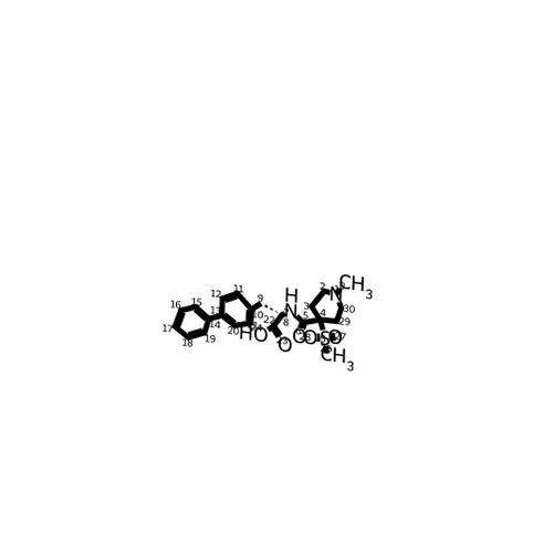 CN1CCC(C(=O)N[C@@H](Cc2ccc(-c3ccccc3)cc2)C(=O)O)(S(C)(=O)=O)CC1